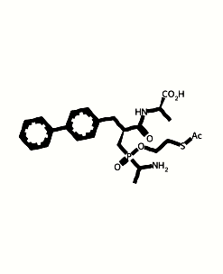 CC(=O)SCCOP(=O)(C[C@@H](Cc1ccc(-c2ccccc2)cc1)C(=O)N[C@H](C)C(=O)O)C(C)N